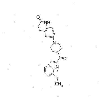 CCc1cccn2cc(C(=O)N3CCN(c4ccc5c(c4)CCC(=O)N5)CC3)nc12